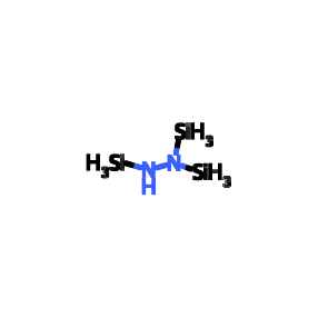 [SiH3]NN([SiH3])[SiH3]